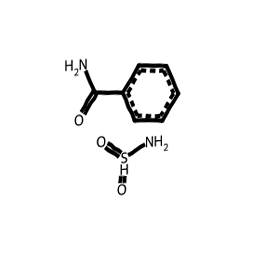 NC(=O)c1ccccc1.N[SH](=O)=O